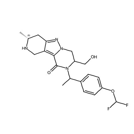 CC(c1ccc(OC(F)F)cc1)N1C(=O)c2c3c(nn2CC1CO)C[C@@H](C)NC3